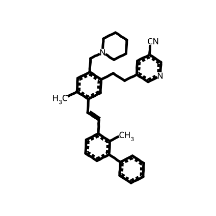 Cc1cc(CN2CCCCC2)c(CCc2cncc(C#N)c2)cc1/C=C/c1cccc(-c2ccccc2)c1C